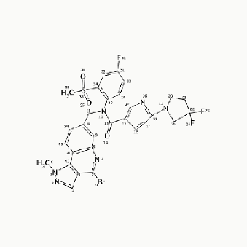 Cn1ncc2c(Br)nc3cc(CN(C(=O)c4ccc(N5CCC(F)(F)C5)nc4)c4ccc(F)cc4S(C)(=O)=O)ccc3c21